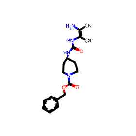 N#C/C(N)=C(\C#N)NC(=O)NC1CCN(C(=O)OCc2ccccc2)CC1